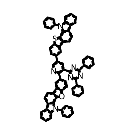 c1ccc(-c2nc(-c3ccccc3)nc(-c3cc(-c4ccc5sc6c(ccc7c8ccccc8n(-c8ccccc8)c76)c5c4)cnc3-c3ccc4oc5c(ccc6c7ccccc7n(-c7ccccc7)c65)c4c3)n2)cc1